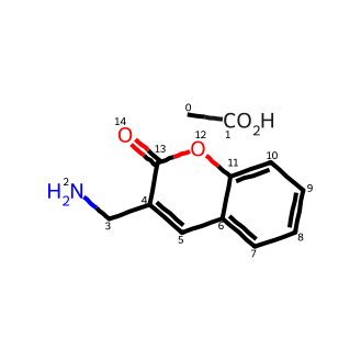 CC(=O)O.NCc1cc2ccccc2oc1=O